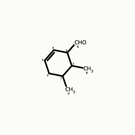 CC1CC=CC(C=O)C1C